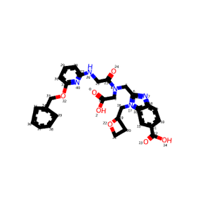 O=C(O)CN(Cc1nc2ccc(C(=O)O)cc2n1CC1CCO1)C(=O)CNc1cccc(OCc2ccccc2)n1